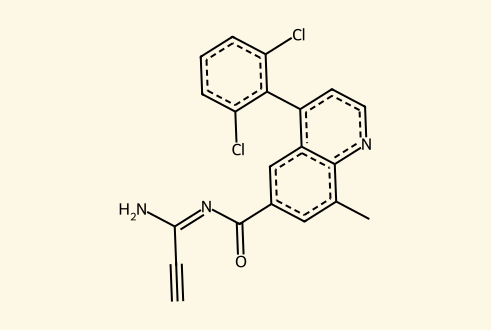 C#C/C(N)=N\C(=O)c1cc(C)c2nccc(-c3c(Cl)cccc3Cl)c2c1